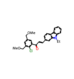 CCn1c2ccccc2c2ccc(/C=C/C(=O)c3cc(COC)cc(COC)c3Cl)cc21